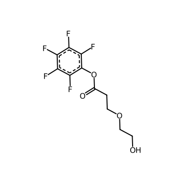 O=C(CCOCCO)Oc1c(F)c(F)c(F)c(F)c1F